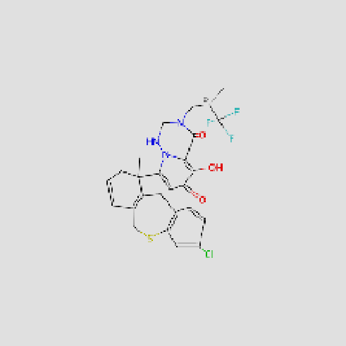 C[C@@H](CN1CNn2c(C3(C)CC=CC4=C3Cc3ccc(Cl)cc3SC4)cc(=O)c(O)c2C1=O)C(F)(F)F